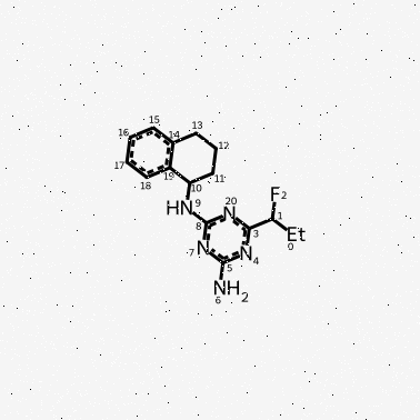 CCC(F)c1nc(N)nc(NC2CCCc3ccccc32)n1